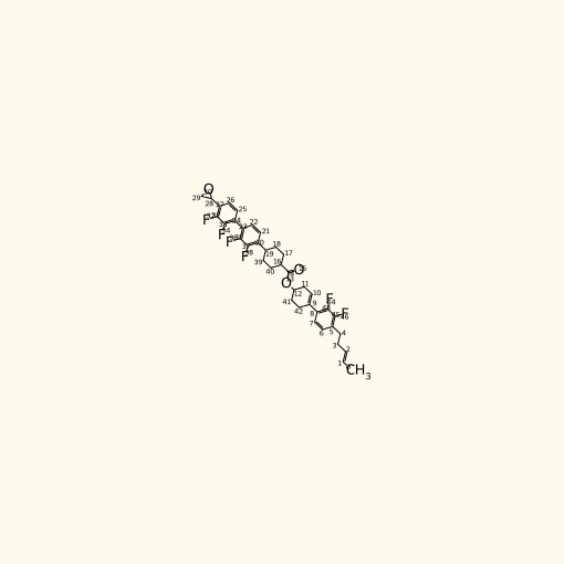 C/C=C/CCc1ccc(C2=CCC(OC(=O)C3CCC(c4ccc(-c5ccc(C6CO6)c(F)c5F)c(F)c4F)CC3)CC2)c(F)c1F